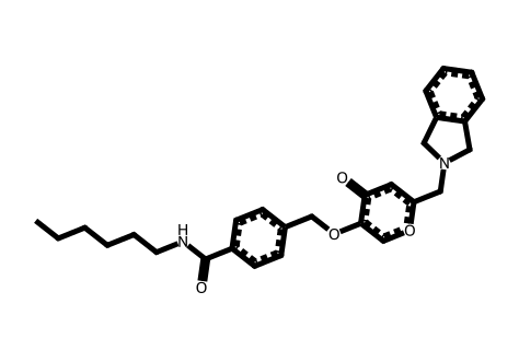 CCCCCCNC(=O)c1ccc(COc2coc(CN3Cc4ccccc4C3)cc2=O)cc1